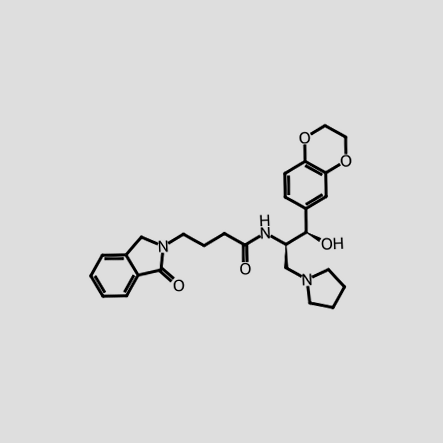 O=C(CCCN1Cc2ccccc2C1=O)N[C@H](CN1CCCC1)[C@H](O)c1ccc2c(c1)OCCO2